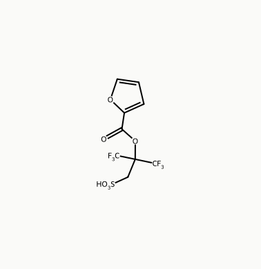 O=C(OC(CS(=O)(=O)O)(C(F)(F)F)C(F)(F)F)c1ccco1